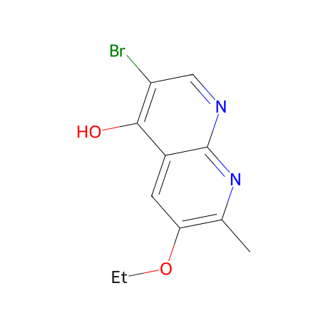 CCOc1cc2c(O)c(Br)cnc2nc1C